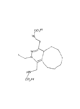 O=C(O)NCC1=NN(CI)C(CNC(=O)O)=C2CCCCCCC12